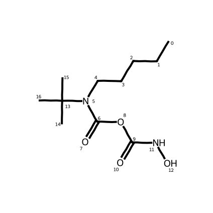 CCCCCN(C(=O)OC(=O)NO)C(C)(C)C